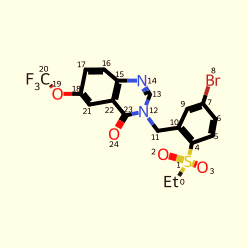 CCS(=O)(=O)c1ccc(Br)cc1Cn1cnc2ccc(OC(F)(F)F)cc2c1=O